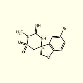 CN1C(=N)N[C@@]2(COc3ccc(Br)cc32)CS1(=O)=O